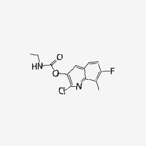 CCNC(=O)Oc1cc2ccc(F)c(C)c2nc1Cl